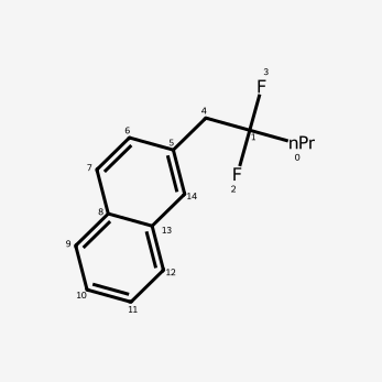 [CH2]CCC(F)(F)Cc1ccc2ccccc2c1